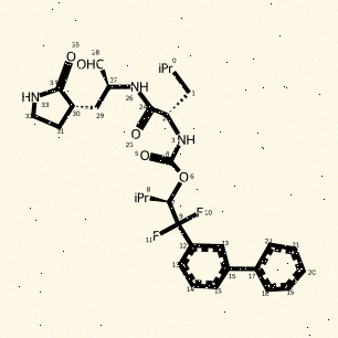 CC(C)C[C@H](NC(=O)O[C@H](C(C)C)C(F)(F)c1cccc(-c2ccccc2)c1)C(=O)N[C@H](C=O)C[C@@H]1CCNC1=O